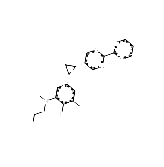 CN(CCO)c1cc([C@@H]2C[C@@H]2c2cnc(-c3ncccn3)nc2)cc(F)c1F